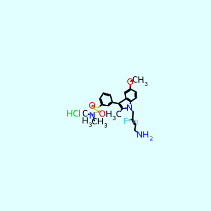 COc1ccc2c(c1)c(-c1cccc(S(=O)(=O)N(C)C)c1)c(C)n2C/C(F)=C/CN.Cl